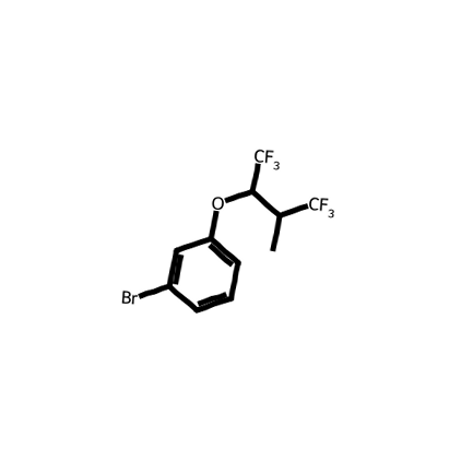 CC(C(Oc1cccc(Br)c1)C(F)(F)F)C(F)(F)F